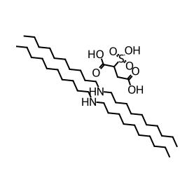 CCCCCCCCCCNCCCCCCCCCC.CCCCCCCCCCNCCCCCCCCCC.O=C(O)CC(C(=O)O)S(=O)(=O)O